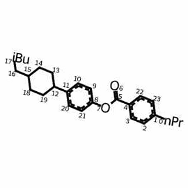 CCCc1ccc(C(=O)Oc2ccc(C3CCC(CC(C)CC)CC3)cc2)cc1